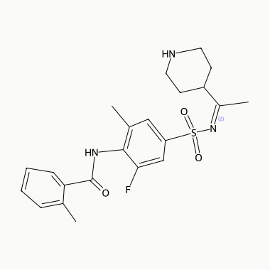 C/C(=N/S(=O)(=O)c1cc(C)c(NC(=O)c2ccccc2C)c(F)c1)C1CCNCC1